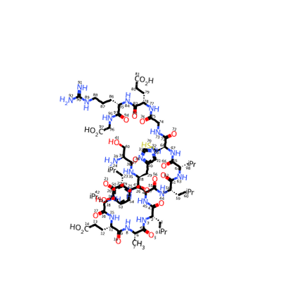 CC(C)C[C@H](NC(=O)[C@H](C)NC(=O)[C@H](CCC(=O)O)NC(=O)[C@@H](NC(=O)[C@H](CC(C)C)NC(=O)[C@H](Cc1c[nH]cn1)NC(=O)[C@@H](N)CO)C(C)C)C(=O)N[C@@H](Cc1ccc(O)cc1)C(=O)N[C@@H](CC(C)C)C(=O)N[C@H](C(=O)N[C@@H](CS)C(=O)NCC(=O)N[C@@H](CCC(=O)O)C(=O)N[C@@H](CCCNC(=N)N)C(=O)NCC(=O)O)C(C)C